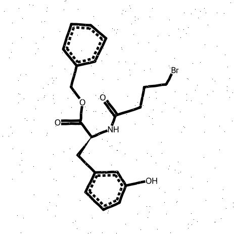 O=C(CCCBr)N[C@@H](Cc1cccc(O)c1)C(=O)OCc1ccccc1